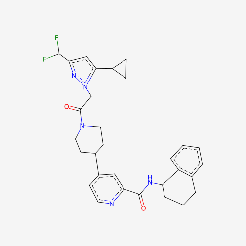 O=C(NC1CCCc2ccccc21)c1cc(C2CCN(C(=O)Cn3nc(C(F)F)cc3C3CC3)CC2)ccn1